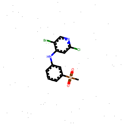 CS(=O)(=O)c1cccc(Nc2cc(Cl)ncc2Br)c1